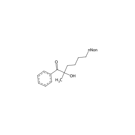 CCCCCCCCCCCCCC(C)(O)C(=O)c1ccccc1